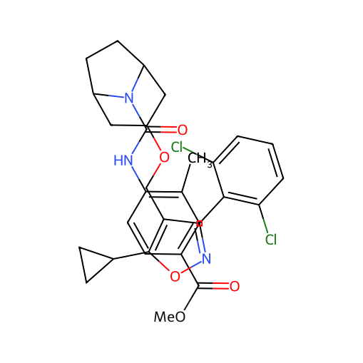 COC(=O)c1ccc(NC(=O)N2C3CCC2CC(OCc2c(-c4c(Cl)cccc4Cl)noc2C2CC2)C3)c(C)c1